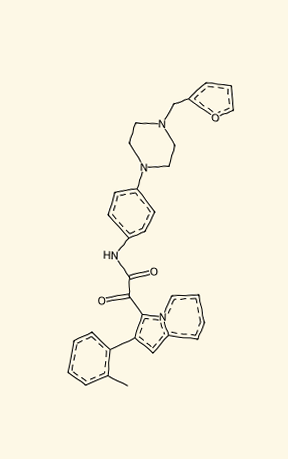 Cc1ccccc1-c1cc2ccccn2c1C(=O)C(=O)Nc1ccc(N2CCN(Cc3ccco3)CC2)cc1